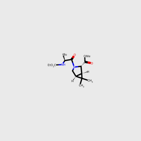 CCOC(=O)N[C@H](C(=O)N1C[C@H]2[C@@H]([C@H]1C(=O)OC)C2(C)C)C(C)(C)C